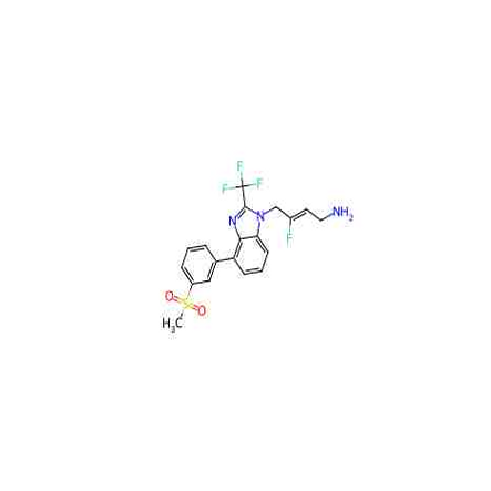 CS(=O)(=O)c1cccc(-c2cccc3c2nc(C(F)(F)F)n3C/C(F)=C/CN)c1